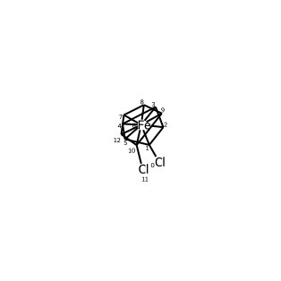 Cl[C]12[CH]3[CH]4[CH]5[CH]1[Fe]45321678[CH]2[CH]1[CH]6[C]7(Cl)[CH]28